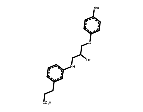 CC(C)(C)c1ccc(OCC(O)CNc2cccc(CCC(=O)O)c2)cc1